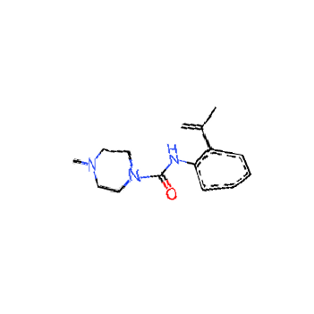 C=C(C)c1ccccc1NC(=O)N1CCN(C)CC1